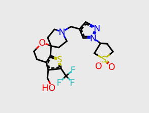 O=S1(=O)CCC(n2cc(CN3CCC4(CC3)OCCc3c4sc(C(F)(F)F)c3CO)cn2)C1